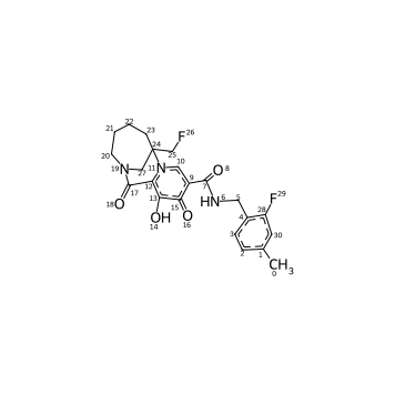 Cc1ccc(CNC(=O)c2cn3c(c(O)c2=O)C(=O)N2CCCCC3(CF)C2)c(F)c1